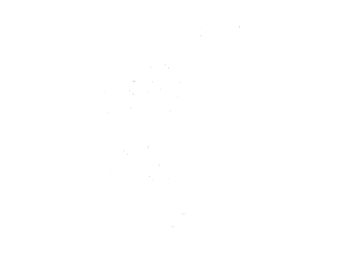 CC1=CC(C)(NC(=O)c2c3c(cn2C)S(=O)(=O)N[C@H]2CN(C(=O)C(=O)NC4(C)CC4)C[C@H]2CO3)CC=C1F